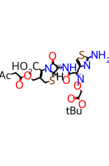 CC(=O)CC(=O)OCC1=C(C(=O)O)N2C(=O)[C@@H](NC(=O)/C(=N\OCC(=O)OC(C)(C)C)c3csc(N)n3)[C@@H]2SC1